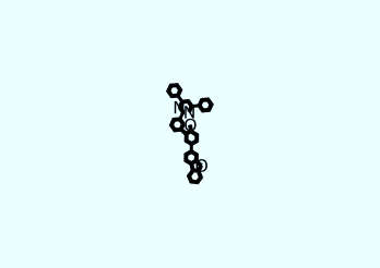 c1ccc(-c2cc(-c3ccccc3)nc(-c3cccc4c3oc3ccc(-c5ccc6c(c5)oc5ccccc56)cc34)n2)cc1